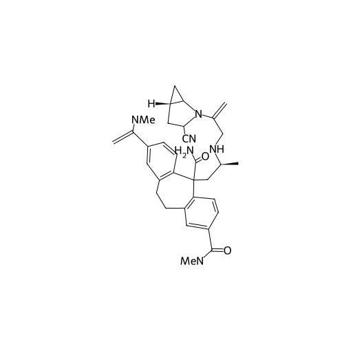 C=C(NC)c1ccc2c(c1)CCc1cc(C(=O)NC)ccc1C2(C[C@H](C)NCC(=C)N1C(C#N)C[C@@H]2CC21)C(N)=O